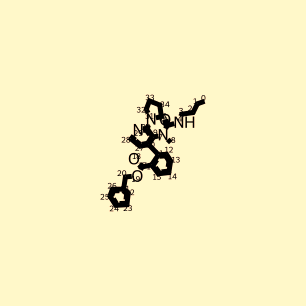 CCCCNC(=O)N(C)c1c(-c2ccccc2C(=O)OCc2ccccc2)ccnc1N1CCCC1